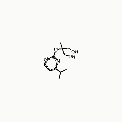 CC(C)c1ccnc(OC(C)(CO)CO)n1